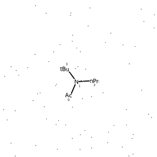 [CH2]C(=O)N(CCC)C(C)(C)C